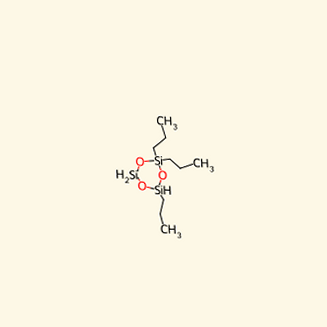 CCC[SiH]1O[SiH2]O[Si](CCC)(CCC)O1